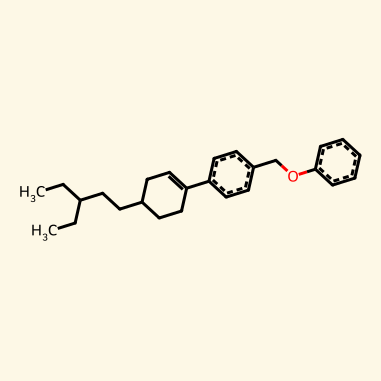 CCC(CC)CCC1CC=C(c2ccc(COc3ccccc3)cc2)CC1